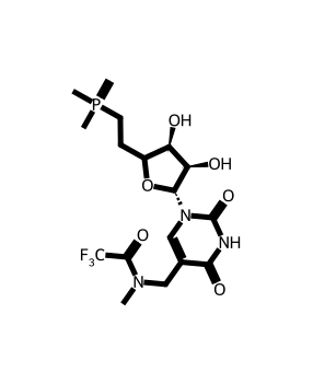 C=P(C)(C)CCC1O[C@@H](n2cc(CN(C)C(=O)C(F)(F)F)c(=O)[nH]c2=O)[C@H](O)[C@@H]1O